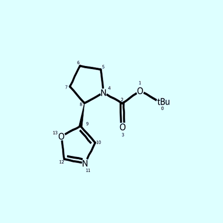 CC(C)(C)OC(=O)N1CCC[C@@H]1c1cnco1